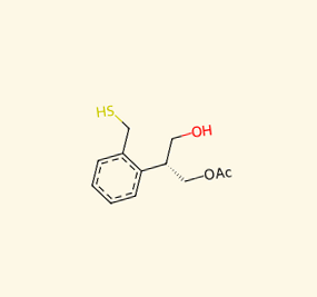 CC(=O)OC[C@@H](CO)c1ccccc1CS